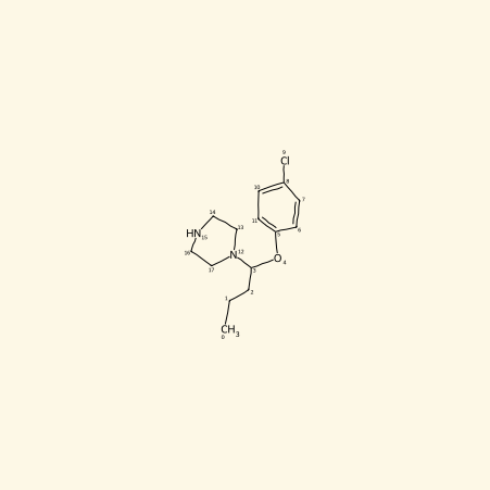 CCCC(Oc1ccc(Cl)cc1)N1CCNCC1